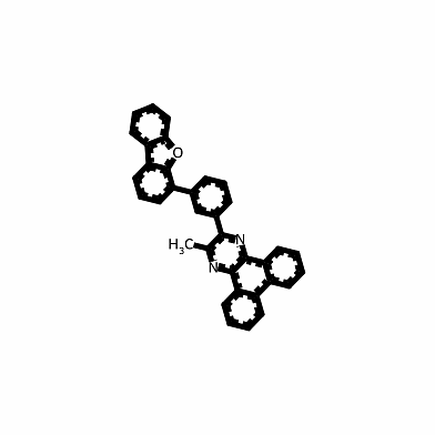 Cc1nc2c3ccccc3c3ccccc3c2nc1-c1cccc(-c2cccc3c2oc2ccccc23)c1